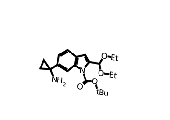 CCOC(OCC)c1cc2ccc(C3(N)CC3)cc2n1C(=O)OC(C)(C)C